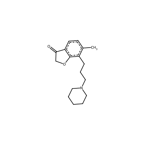 Cc1ccc2c(c1CCCN1CCCCC1)OCC2=O